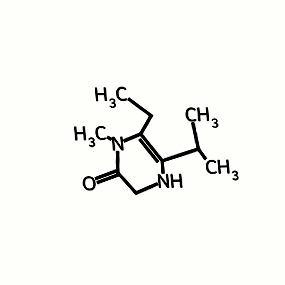 CCC1=C(C(C)C)NCC(=O)N1C